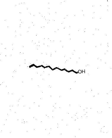 [CH]=CCCCCCCCCCCCO